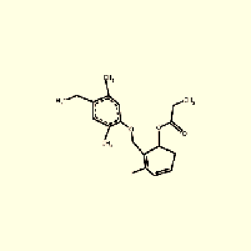 CCC(=O)OC1CC=CC(I)=C1COc1cc(C)c(CC)cc1C